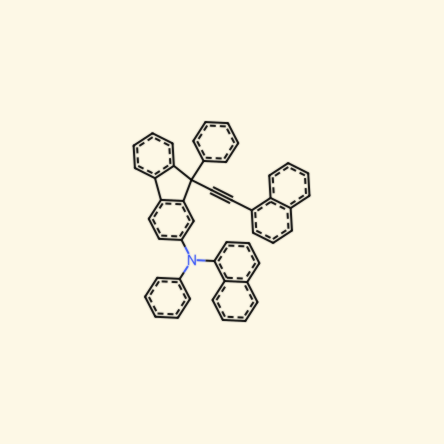 C(#CC1(c2ccccc2)c2ccccc2-c2ccc(N(c3ccccc3)c3cccc4ccccc34)cc21)c1cccc2ccccc12